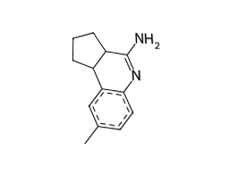 Cc1ccc2c(c1)C1CCCC1C(N)=N2